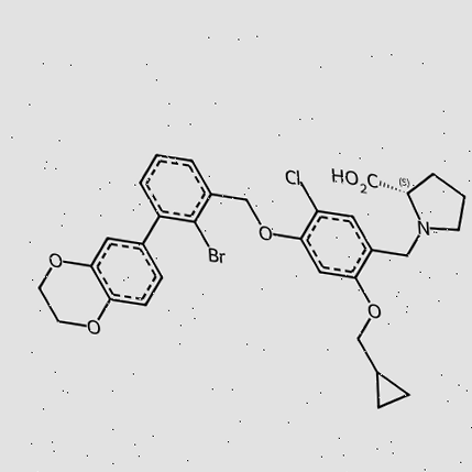 O=C(O)[C@@H]1CCCN1Cc1cc(Cl)c(OCc2cccc(-c3ccc4c(c3)OCCO4)c2Br)cc1OCC1CC1